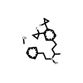 CC#N.CC(C)N(CCc1ccccc1)C(C)CCc1ccc(C2(F)CC2)c(C2(F)CC2)c1